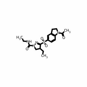 CCNC(=O)N1CC(CC)C(S(=O)(=O)c2ccc3c(c2)CCN3C(C)=O)=N1